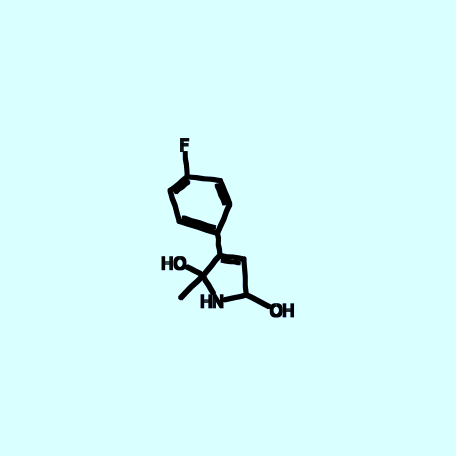 CC1(O)NC(O)C=C1c1ccc(F)cc1